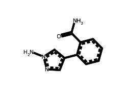 NC(=O)c1ccccc1-c1cnn(N)c1